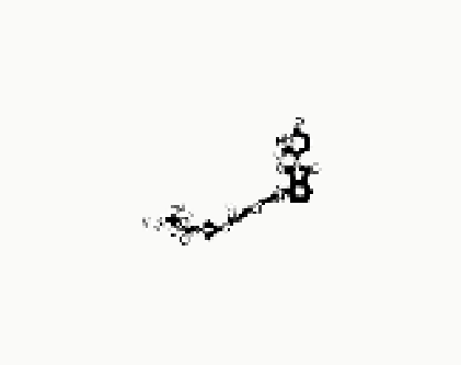 CC(C)(C)OC(=O)N1CC(SNCCOCCNc2cccc3c2C(=O)N(C2CCC(=O)NC2=O)C3=O)C1